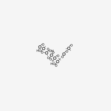 CC(C)(C)c1ccc(C(=O)O)cc1.CC(C)(C)c1ccc(C=O)cc1.COC(=O)c1ccc(OC)cc1.COc1ccc(C=O)cc1.Cc1cc(C)cc(C(=O)O)c1.Cc1cc(C)cc(C=O)c1.Cc1ccc(C(=O)O)cc1.Cc1ccc(C=O)cc1